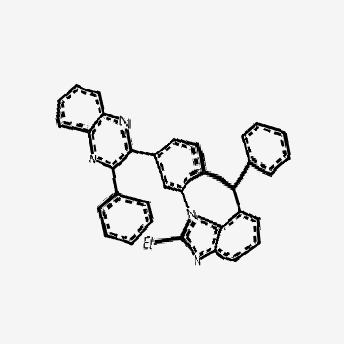 CCc1nc2cccc3c2n1-c1cc(-c2nc4ccccc4nc2-c2ccccc2)ccc1C3c1ccccc1